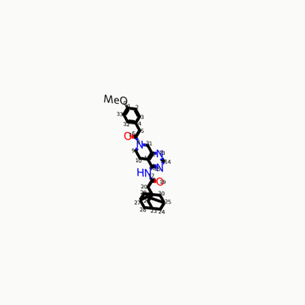 COc1ccc(CC(=O)N2CCc3c(ncnc3NC(=O)CC34CC5CC(CC(C5)C3)C4)C2)cc1